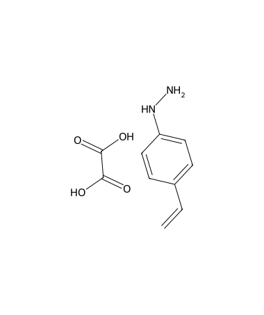 C=Cc1ccc(NN)cc1.O=C(O)C(=O)O